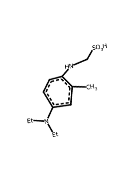 CCN(CC)c1ccc(NCS(=O)(=O)O)c(C)c1